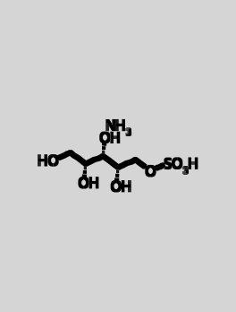 N.O=S(=O)(O)OC[C@H](O)[C@@H](O)[C@H](O)CO